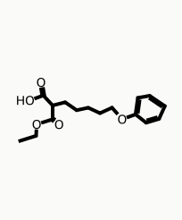 CCOC(=O)C(CCCCCOc1ccccc1)C(=O)O